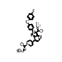 CC(C)(C)OC(=O)N1CCC(c2ccnc3c(C(N)=O)n(-c4ccc(Oc5ccc(F)cc5)cc4)nc23)CC1